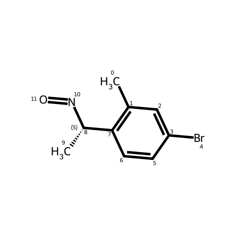 Cc1cc(Br)ccc1[C@H](C)N=O